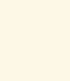 [CH2]COc1ccccc1CCCCCCCC